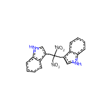 O=[N+]([O-])C(c1c[nH]c2ccccc12)(c1c[nH]c2ccccc12)[N+](=O)[O-]